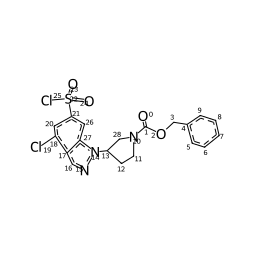 O=C(OCc1ccccc1)N1CCC(n2ncc3c(Cl)cc(S(=O)(=O)Cl)cc32)C1